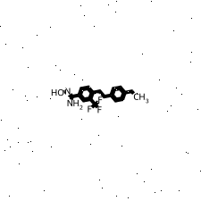 CCc1ccc(CCc2ccc(/C(N)=N/O)cc2C(F)(F)F)cc1